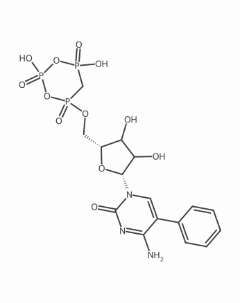 Nc1nc(=O)n([C@@H]2O[C@H](COP3(=O)CP(=O)(O)OP(=O)(O)O3)C(O)C2O)cc1-c1ccccc1